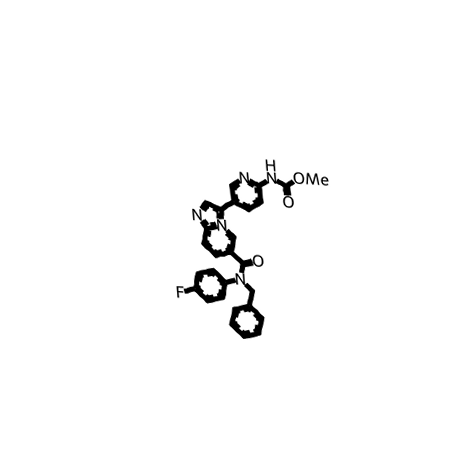 COC(=O)Nc1ccc(-c2cnc3ccc(C(=O)N(Cc4ccccc4)c4ccc(F)cc4)cn23)cn1